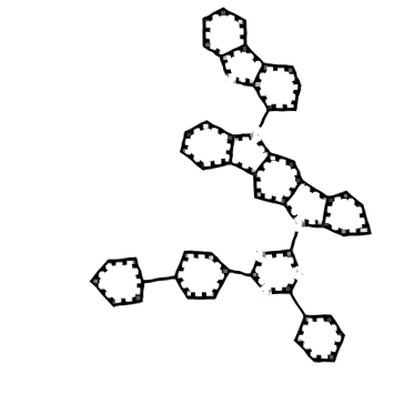 c1ccc(-c2ccc(-c3nc(-c4ccccc4)nc(-n4c5ccccc5c5cc6c(cc54)c4ccccc4n6-c4cccc5c4oc4ccccc45)n3)cc2)cc1